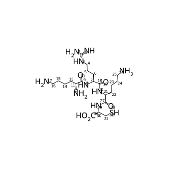 N=C(N)NCCC[C@H](NC(=O)[C@@H](N)CCCCN)C(=O)N[C@@H](CCCCN)C(=O)N[C@@H](CS)C(=O)O